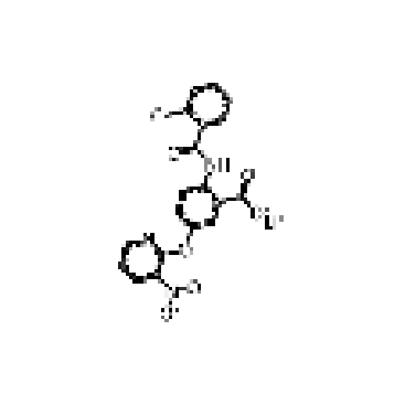 O=C(Nc1ccc(Oc2ncccc2[N+](=O)[O-])cc1C(=O)[O-])c1ccccc1Cl.[Li+]